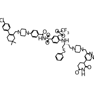 CC1(C)CCC(c2ccc(Cl)cc2)=C(CN2CCN(c3ccc(C(=O)NS(=O)(=O)c4ccc(N[C@H](CCN5CCN(Cc6cc(C7CCC(=O)NC7=O)cnn6)CC5)CSc5ccccc5)c(S(=O)(=O)C(F)(F)F)c4)cc3)CC2)C1